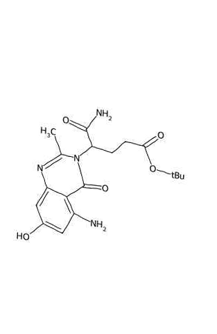 Cc1nc2cc(O)cc(N)c2c(=O)n1C(CCC(=O)OC(C)(C)C)C(N)=O